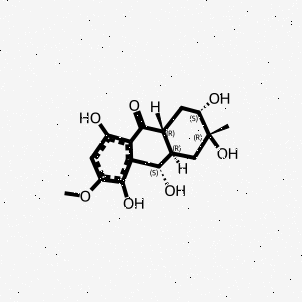 COc1cc(O)c2c(c1O)[C@@H](O)[C@@H]1C[C@@](C)(O)[C@@H](O)C[C@H]1C2=O